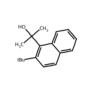 CC(C)(C)c1ccc2ccccc2c1C(C)(C)O